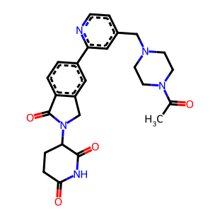 CC(=O)N1CCN(Cc2ccnc(-c3ccc4c(c3)CN(C3CCC(=O)NC3=O)C4=O)c2)CC1